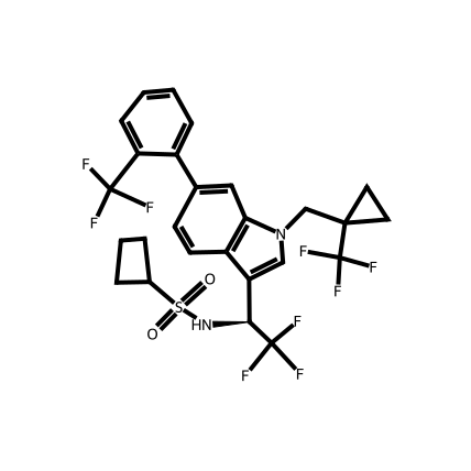 O=S(=O)(N[C@@H](c1cn(CC2(C(F)(F)F)CC2)c2cc(-c3ccccc3C(F)(F)F)ccc12)C(F)(F)F)C1CCC1